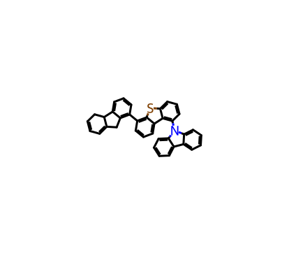 C1=CCC2C(=C1)Cc1c(-c3cccc4c3sc3cccc(-n5c6ccccc6c6ccccc65)c34)cccc12